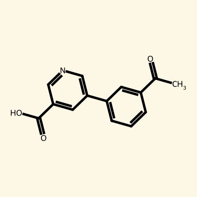 CC(=O)c1cccc(-c2cncc(C(=O)O)c2)c1